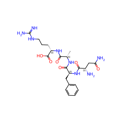 C[C@H](NC(=O)[C@H](Cc1ccccc1)NC(=O)[C@@H](N)CC(N)=O)C(=O)N[C@@H](CCCNC(=N)N)C(=O)O